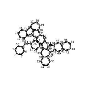 c1ccc(N(c2ccccc2)c2cccc3c4cccc5c6nc7c(cc6n(c23)c45)c2cc3ccccc3c3c4cc5ccccc5cc4n7c23)cc1